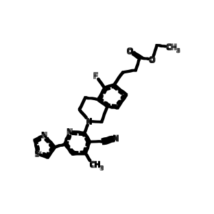 CCOC(=O)CCc1ccc2c(c1F)CCN(c1nc(-c3cscn3)cc(C)c1C#N)C2